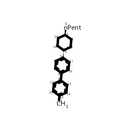 CCCCC[C@H]1CC[C@H](c2ccc(-c3ccc(C)cc3)cc2)CC1